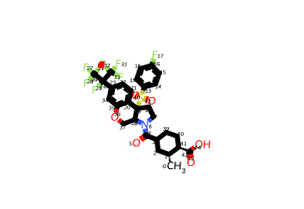 C[C@@H]1CC(C(=O)N2CCC3(S(=O)(=O)c4ccc(F)cc4)c4ccc(C(F)(C(F)(F)F)C(F)(F)F)cc4OCC23)CC[C@H]1C(=O)O